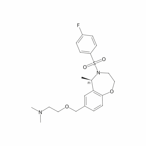 C[C@@H]1c2cc(COCCN(C)C)ccc2OCCN1S(=O)(=O)c1ccc(F)cc1